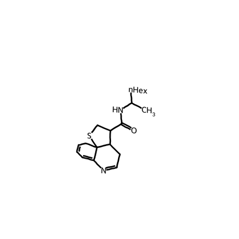 CCCCCCC(C)NC(=O)C1CSC23CC=CC=C2N=CCC13